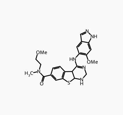 COCCN(C)C(=O)c1ccc2c(c1)SC1NCN=C(Nc3cc4cn[nH]c4cc3OC)C21